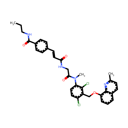 CCCNC(=O)c1ccc(/C=C/C(=O)NCC(=O)N(C)c2ccc(Cl)c(COc3cccc4ccc(C)nc34)c2Cl)cc1